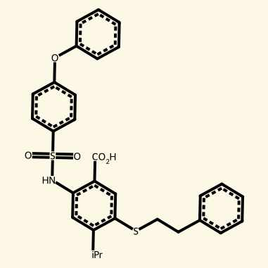 CC(C)c1cc(NS(=O)(=O)c2ccc(Oc3ccccc3)cc2)c(C(=O)O)cc1SCCc1ccccc1